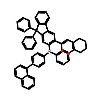 c1ccc(N(c2ccc(-c3cccc4ccccc34)cc2)c2cc3c(cc2-c2ccc4c(c2)CCCC4)-c2ccccc2C3(c2ccccc2)c2ccccc2)cc1